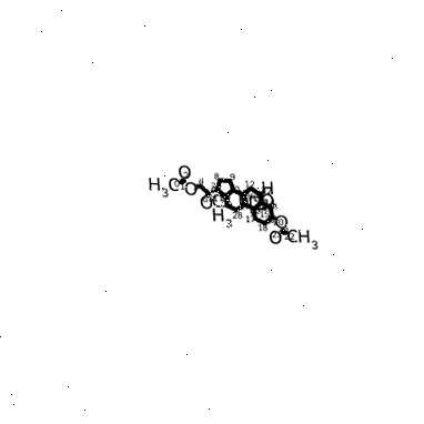 CC(=O)OCC(=O)[C@H]1CCC2C3C[C@H]4OC[C@@]5(CC[C@H](OC(C)=O)C[C@]45Br)C3CC[C@@]21C